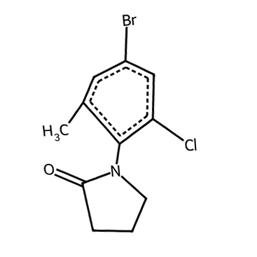 Cc1cc(Br)cc(Cl)c1N1CCCC1=O